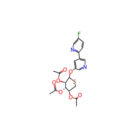 CC(=O)O[C@@H]1[C@@H](OC(C)=O)[C@@H](Oc2cncc(-c3ccc(F)cn3)c2)SC[C@H]1OC(C)=O